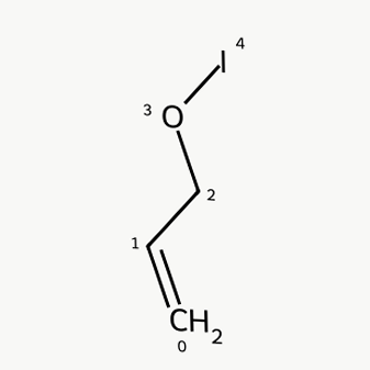 C=CCOI